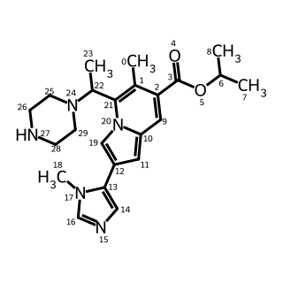 Cc1c(C(=O)OC(C)C)cc2cc(-c3cncn3C)cn2c1C(C)N1CCNCC1